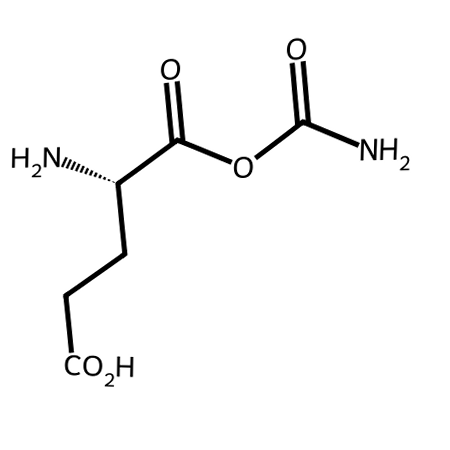 NC(=O)OC(=O)[C@@H](N)CCC(=O)O